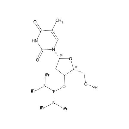 [2H]OC[C@H]1O[C@@H](n2cc(C)c(=O)[nH]c2=O)CC1OP(N(C(C)C)C(C)C)N(C(C)C)C(C)C